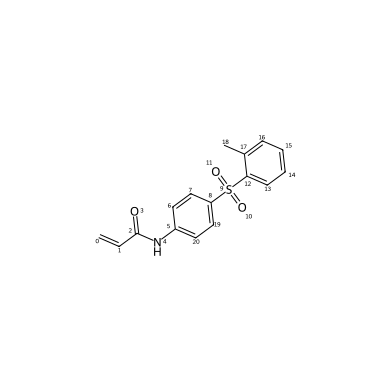 C=CC(=O)Nc1ccc(S(=O)(=O)c2ccccc2C)cc1